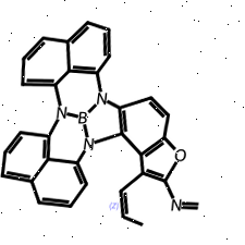 C=Nc1oc2ccc3c(c2c1/C=C\C)N1B2N3c3cccc4cccc(c34)N2c2cccc3cccc1c23